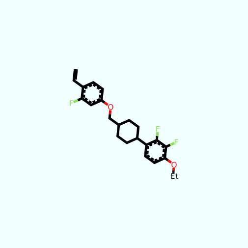 C=Cc1ccc(OCC2CCC(c3ccc(OCC)c(F)c3F)CC2)cc1F